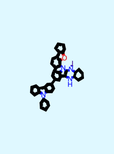 IN1c2c(c3cc(-c4ccc5c(c4)c4ccccc4n5-c4ccccc4)cc4c5ccc6c7ccccc7oc6c5n2c34)NC2C=CC=CC21